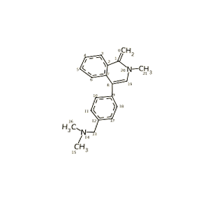 C=C1c2ccccc2C(c2ccc(CN(C)C)cc2)=CN1C